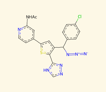 CC(=O)Nc1cc(-c2cc(C(N=[N+]=[N-])c3ccc(Cl)cc3)c(-c3nnc[nH]3)s2)ccn1